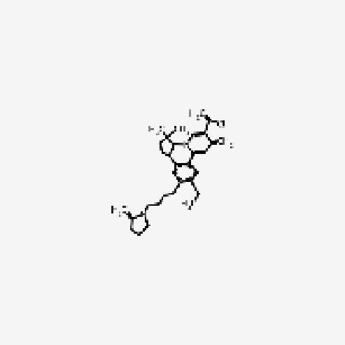 C=C(Cl)C1=CN2C(=CC1=C)c1cc(CC)c(CCCCN3CCCC3=C)cc1C1CCC(C)(C)C12